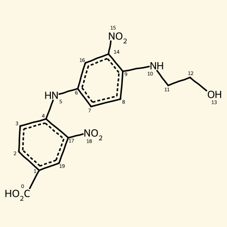 O=C(O)c1ccc(Nc2ccc(NCCO)c([N+](=O)[O-])c2)c([N+](=O)[O-])c1